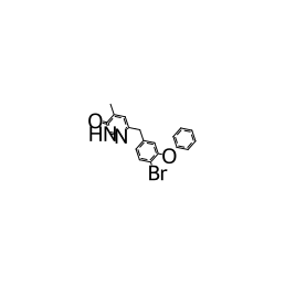 Cc1cc(Cc2ccc(Br)c(Oc3ccccc3)c2)n[nH]c1=O